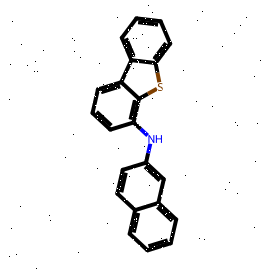 c1ccc2cc(Nc3cccc4c3sc3ccccc34)ccc2c1